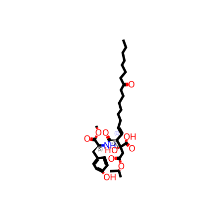 CCCCCCCC(=O)CCCCCC/C=C/[C@H](C(=O)N[C@@H](Cc1ccc(O)cc1)C(=O)OC)[C@@](O)(CC(=O)OC(C)C)C(=O)O